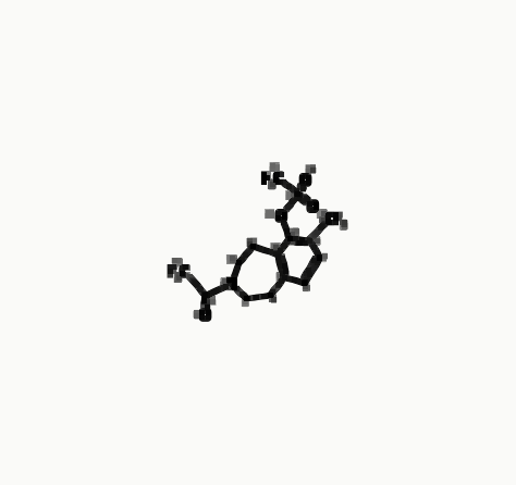 O=C(N1CCc2ccc(C(F)(F)F)c(OS(=O)(=O)C(F)(F)F)c2CC1)C(F)(F)F